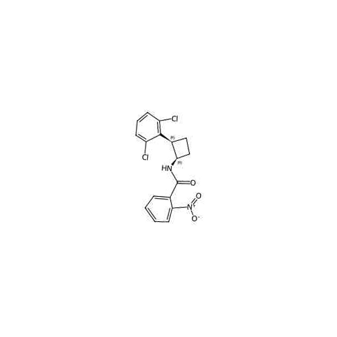 O=C(N[C@@H]1CC[C@@H]1c1c(Cl)cccc1Cl)c1ccccc1[N+](=O)[O-]